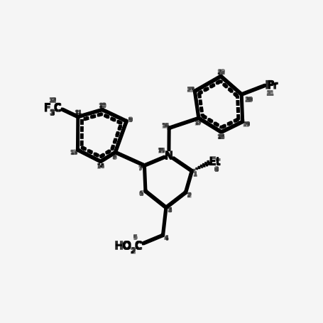 CC[C@@H]1CC(CC(=O)O)CC(c2ccc(C(F)(F)F)cc2)N1Cc1ccc(C(C)C)cc1